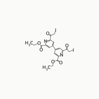 CCOC(=O)c1cc(-c2cc(C(=O)CI)nc(C(=O)OCC)c2)cc(C(=O)CI)n1